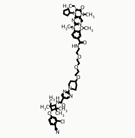 CC[C@@H]1C(=O)N(C)c2cnc(N(C)c3ccc(C(=O)NCCOCCOCCOC4CCN(c5ncc(C(=O)N[C@H]6C(C)(C)[C@H](Oc7ccc(C#N)c(Cl)c7)C6(C)C)cn5)CC4)cc3OC)nc2N1C1CCCC1